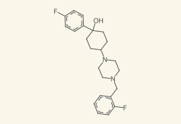 OC1(c2ccc(F)cc2)CCC(N2CCN(Cc3ccccc3F)CC2)CC1